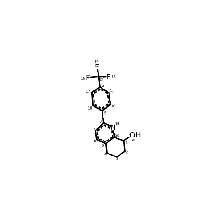 OC1CCCc2ccc(-c3ccc(C(F)(F)F)cc3)nc21